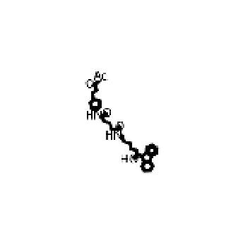 CC(=O)CC(=O)CCc1ccc(NC(=O)CCCC(=O)NCCCCCC(O)C2c3ccccc3-c3ccccc32)cc1